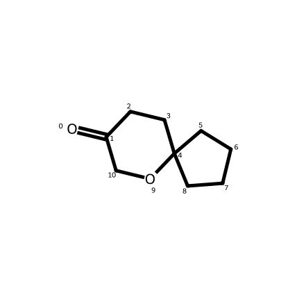 O=C1CCC2(CCCC2)OC1